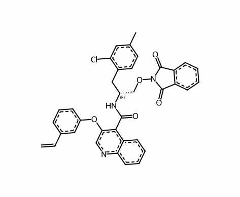 C=Cc1cccc(Oc2cnc3ccccc3c2C(=O)N[C@@H](CON2C(=O)c3ccccc3C2=O)Cc2ccc(C)cc2Cl)c1